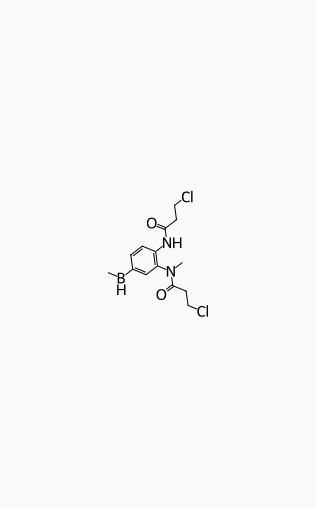 CBc1ccc(NC(=O)CCCl)c(N(C)C(=O)CCCl)c1